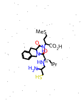 CSCCC(NC(=O)C1Cc2ccccc2CN1C(=O)[C@H](CC(C)C)NCC(N)CS)C(=O)O